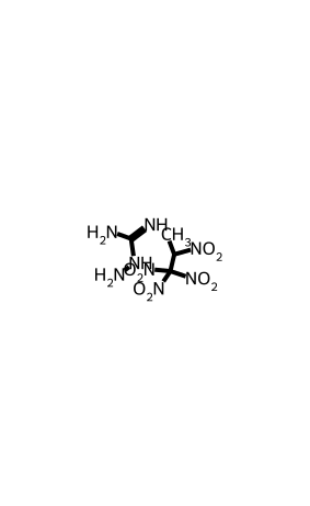 CC([N+](=O)[O-])C([N+](=O)[O-])([N+](=O)[O-])[N+](=O)[O-].N=C(N)NN